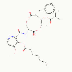 COc1ccnc(C(=O)N[C@H]2COC(=O)[C@H](Cc3ccccc3)[C@@H](OC(=O)C(C)C)[C@H](C)OC2=O)c1OC(=O)CCCCCBr